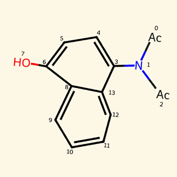 CC(=O)N(C(C)=O)c1ccc(O)c2ccccc12